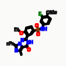 CCCc1nc(C)c2c(=O)[nH]c(-c3cc(S(=O)(=O)Nc4ccc(OC)c(F)c4)ccc3OCC)nn12